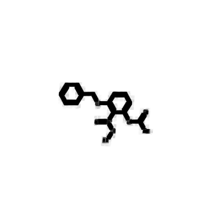 CCO[N+](=O)c1c(OCc2ccccc2)cccc1OC(=O)C(C)=O